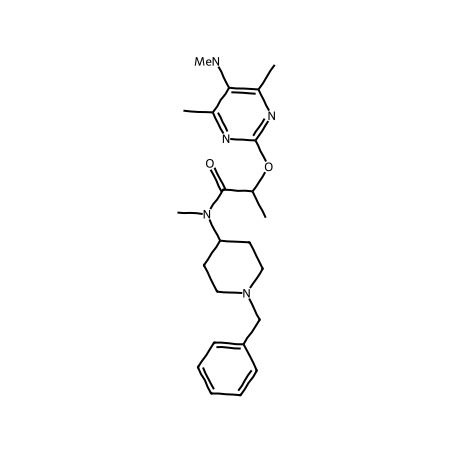 CNc1c(C)nc(OC(C)C(=O)N(C)C2CCN(Cc3ccccc3)CC2)nc1C